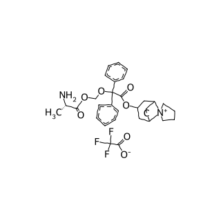 C[C@H](N)C(=O)OCOC(C(=O)OC1CC2CCC(C1)[N+]21CCCC1)(c1ccccc1)c1ccccc1.O=C([O-])C(F)(F)F